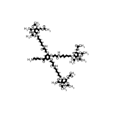 CC(=O)N[C@H]1[C@H](OCCCCCCNC(=O)CCO[C@@H]2[C@H](OCCC(=O)NCCCCCCO[C@@H]3O[C@H](COC(C)=O)[C@H](OC(C)=O)[C@H](OC(C)=O)[C@H]3NC(C)=O)C=C(C(=O)NCCCCN)C[C@H]2OCCC(=O)NCCCCCCO[C@@H]2O[C@H](COC(C)=O)[C@H](OC(C)=O)[C@H](OC(C)=O)[C@H]2NC(C)=O)O[C@H](COC(C)=O)[C@H](OC(C)=O)[C@@H]1OC(C)=O